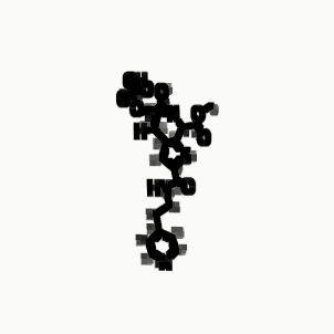 COC(=O)C1c2sc(C(=O)NCCc3ccncc3)cc2[C@H]2CN1C(=O)N2OS(=O)(=O)O